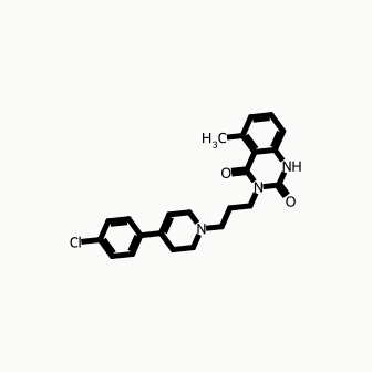 Cc1cccc2[nH]c(=O)n(CCCN3CC=C(c4ccc(Cl)cc4)CC3)c(=O)c12